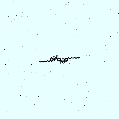 CCCCCCCCCc1ccc(OC(F)(F)c2ccc(C(F)(F)Oc3ccc(CCCCCCCC)cc3)cc2)cc1